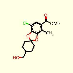 COC(=O)c1cc(Cl)c2c(c1C)OC1(CCC(CO)CC1)O2